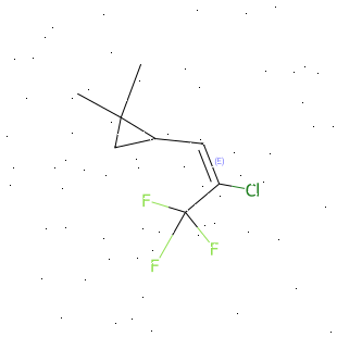 CC1(C)CC1/C=C(/Cl)C(F)(F)F